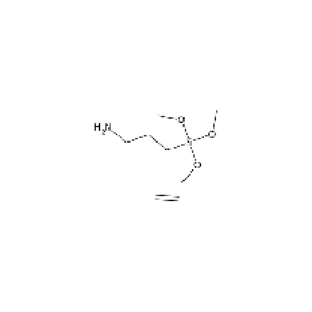 C=C.CO[Si](CCCN)(OC)OC